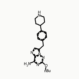 CCCCOc1nc(N)c2ncc(Cc3ccc(C4CCNCC4)cc3)n2n1